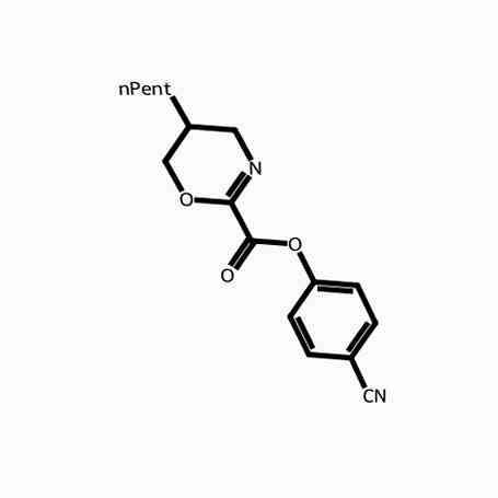 CCCCCC1CN=C(C(=O)Oc2ccc(C#N)cc2)OC1